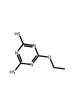 CCOc1nc(S)nc(S)n1